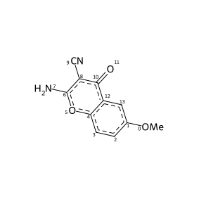 COc1ccc2oc(N)c(C#N)c(=O)c2c1